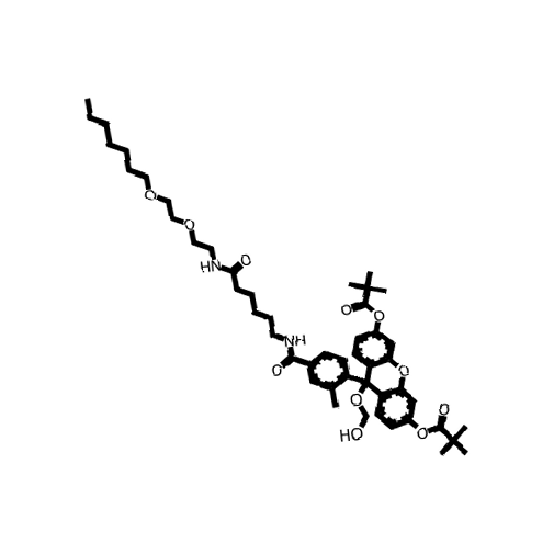 CCCCCCCOCCOCCNC(=O)CCCCCNC(=O)c1ccc(C2(OCO)c3ccc(OC(=O)C(C)(C)C)cc3Oc3cc(OC(=O)C(C)(C)C)ccc32)c(C)c1